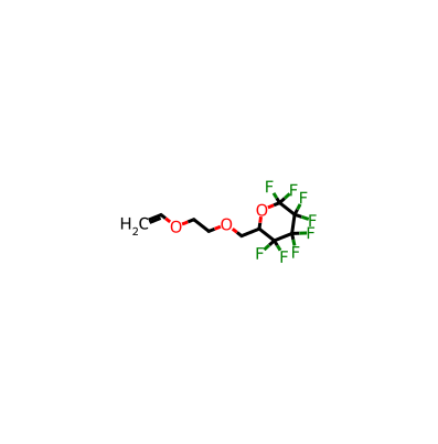 C=COCCOCC1OC(F)(F)C(F)(F)C(F)(F)C1(F)F